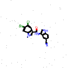 Cn1cc(C(=O)Nc2c[nH]c3ccc(C#N)cc23)c2cc(Cl)c(Br)cc21